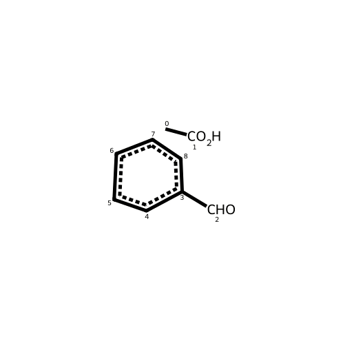 CC(=O)O.O=Cc1ccccc1